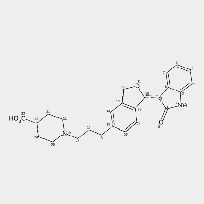 O=C1Nc2ccccc2C1=C1OCc2cc(CCCN3CCC(C(=O)O)CC3)ccc21